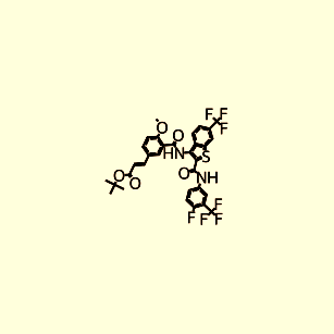 COc1ccc(/C=C/C(=O)OC(C)(C)C)cc1C(=O)Nc1c(C(=O)Nc2ccc(F)c(C(F)(F)F)c2)sc2cc(C(F)(F)F)ccc12